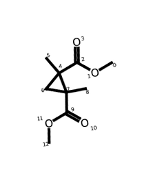 COC(=O)C1(C)CC1(C)C(=O)OC